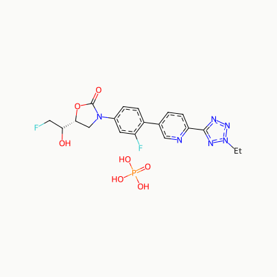 CCn1nnc(-c2ccc(-c3ccc(N4C[C@H](C(O)CF)OC4=O)cc3F)cn2)n1.O=P(O)(O)O